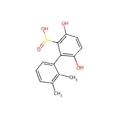 Cc1cccc(-c2c(O)ccc(O)c2S(=O)O)c1C